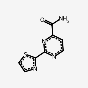 NC(=O)c1ccnc(-c2nccs2)n1